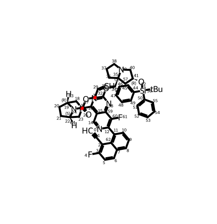 C#Cc1c(F)ccc2cccc(-c3ncc4c(N5C[C@H]6CC[C@@H](C5)N6C(=O)OCC=C)nc(OC[C@@]56CCCN5C[C@H](O[Si](c5ccccc5)(c5ccccc5)C(C)(C)C)C6)nc4c3F)c12